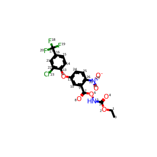 CCOC(=O)NOC(=O)c1cc(Oc2ccc(C(F)(F)F)cc2Cl)ccc1[N+](=O)[O-]